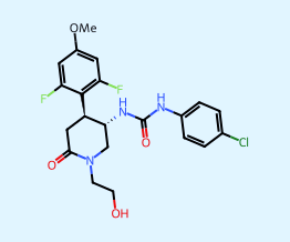 COc1cc(F)c([C@@H]2CC(=O)N(CCO)C[C@H]2NC(=O)Nc2ccc(Cl)cc2)c(F)c1